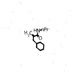 C=C(CC1CCCCC1)C(=O)N[CH]CC